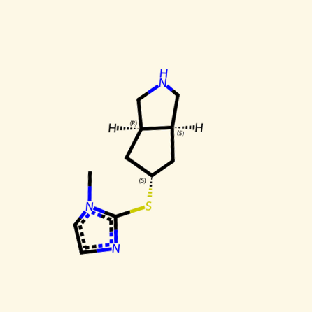 Cn1ccnc1S[C@@H]1C[C@H]2CNC[C@H]2C1